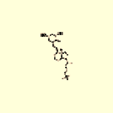 C=C1/C(=C\C=C2/CCC[C@]3(C)[C@@H]([C@H](C)CCC[Si](C)(C)C)CC[C@@H]23)C[C@@H](O)C[C@@H]1O